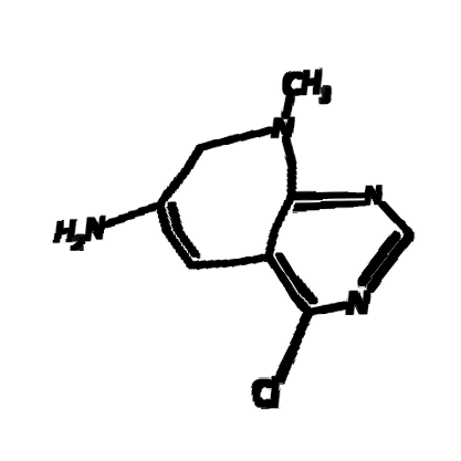 CN1CC(N)=Cc2c(Cl)ncnc21